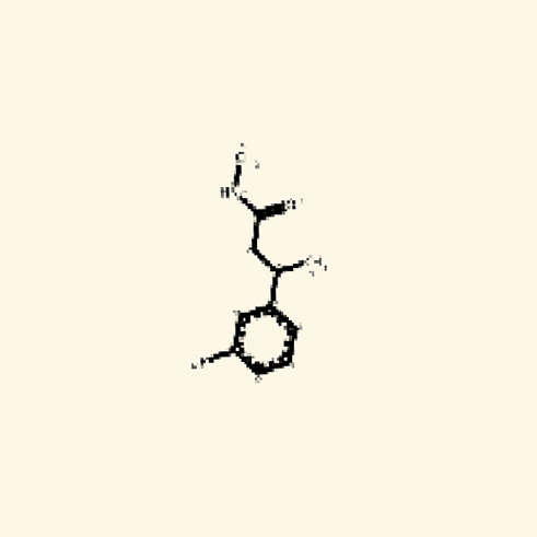 CNC(=O)CC(C)c1cccc(F)c1